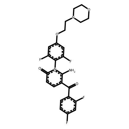 Nc1c(C(=O)c2ccc(F)cc2F)ccc(=O)n1-c1c(F)cc(OCCN2CCOCC2)cc1F